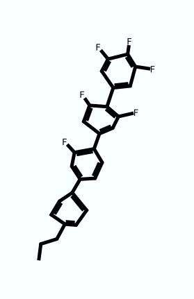 CCCc1ccc(-c2ccc(-c3cc(F)c(-c4cc(F)c(F)c(F)c4)c(F)c3)c(F)c2)cc1